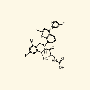 Cc1cc(-n2cc(F)cn2)c2cccc(OCc3c(Cl)cc(F)cc3C(C)NC(=O)C(O)CNC(=O)O)c2n1